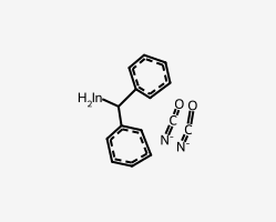 [InH2][CH](c1ccccc1)c1ccccc1.[N-]=C=O.[N-]=C=O